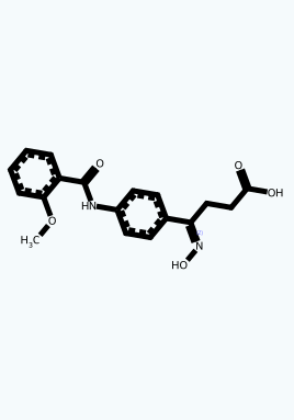 COc1ccccc1C(=O)Nc1ccc(/C(CCC(=O)O)=N\O)cc1